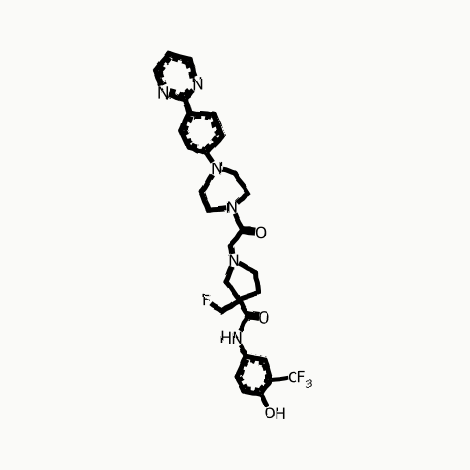 O=C(CN1CCC(CF)(C(=O)Nc2ccc(O)c(C(F)(F)F)c2)C1)N1CCN(c2ccc(-c3ncccn3)cc2)CC1